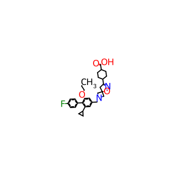 CCCOc1cc(CN2CC3(CC(C4CCC(C(=O)O)CC4)=NO3)C2)cc(C2CC2)c1-c1ccc(F)cc1